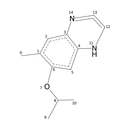 Cc1cc2c(cc1OC(C)C)NC=C=N2